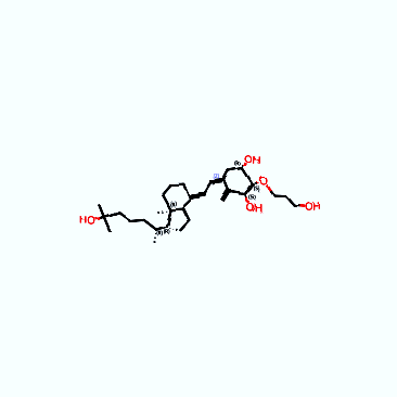 C=C1/C(=C\C=C2CCC[C@@]3(C)C2CC[C@@H]3[C@H](C)CCCC(C)(C)O)C[C@@H](O)[C@H](OCCCO)[C@H]1O